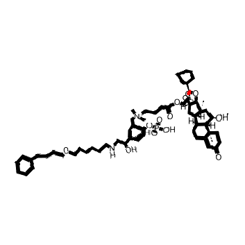 C[C@]12C=CC(=O)C=C1CC[C@@H]1[C@@H]2[C@@H](O)C[C@@]2(C)[C@H]1C[C@H]1O[C@@H](C3CCCCC3)O[C@]12C(=O)COC(=O)CCC[N+](C)(C)Cc1cc(C(O)CNCCCCCCOCCCCc2ccccc2)ccc1OP(=O)(O)O